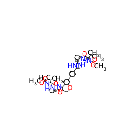 COC(=O)N[C@H](C(=O)N[C@@H]1CCC[C@@H]1c1ncc(-c2ccc(-c3ccc4c(c3)OCCc3oc([C@@H]5CCCN5C(=O)[C@@H](NC(=O)OC)C(C)C)nc3-4)cc2)[nH]1)C(C)C